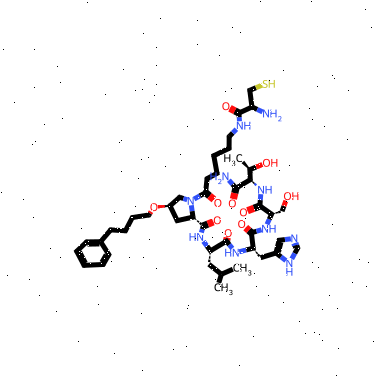 CC(C)C[C@H](NC(=O)[C@@H]1C[C@@H](OCCCCc2ccccc2)CN1C(=O)CCCCCNC(=O)C(N)CS)C(=O)N[C@@H](Cc1cnc[nH]1)C(=O)N[C@@H](CO)C(=O)N[C@H](C(N)=O)[C@@H](C)O